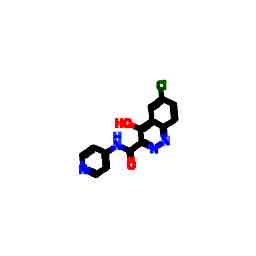 O=C(Nc1ccncc1)c1nnc2ccc(Cl)cc2c1O